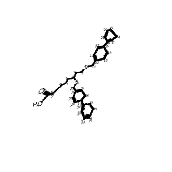 O=C(O)CCCCC(CCSCc1ccc(-c2ccccc2)cc1)SCc1ccc(-c2ccccc2)cc1